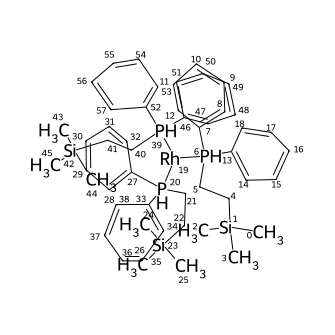 C[Si](C)(C)CC[PH](c1ccccc1)(c1ccccc1)[Rh]([PH](CC[Si](C)(C)C)(c1ccccc1)c1ccccc1)[PH](CC[Si](C)(C)C)(c1ccccc1)c1ccccc1